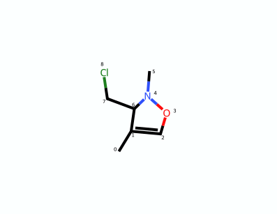 CC1=CON(C)C1CCl